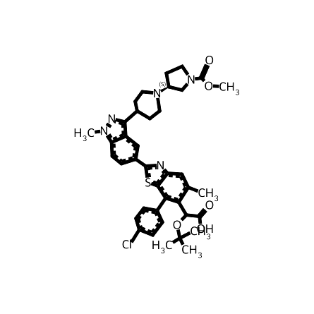 COC(=O)N1CC[C@H](N2CCC(c3nn(C)c4ccc(-c5nc6cc(C)c(C(OC(C)(C)C)C(=O)O)c(-c7ccc(Cl)cc7)c6s5)cc34)CC2)C1